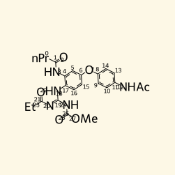 CCCC(=O)Nc1cc(Oc2ccc(NC(C)=O)cc2)ccc1NC(=NC(=O)CC)NC(=O)OC